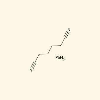 N#CCCCCC#N.[PbH2]